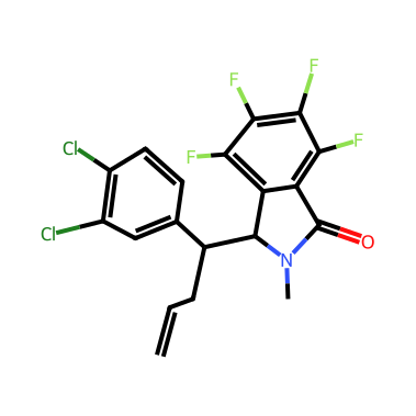 C=CCC(c1ccc(Cl)c(Cl)c1)C1c2c(F)c(F)c(F)c(F)c2C(=O)N1C